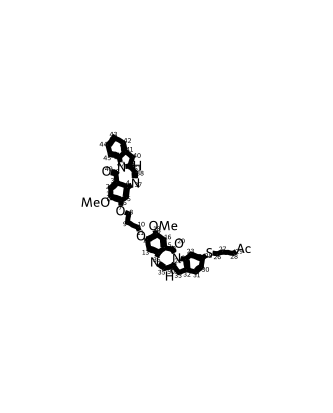 COc1cc2c(cc1OCCCOc1cc3c(cc1OC)C(=O)N1c4cc(SCCCC(C)=O)ccc4C[C@H]1C=N3)N=C[C@@H]1Cc3ccccc3N1C2=O